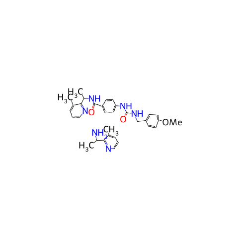 COc1ccc(CNC(=O)Nc2ccc(C(=O)NC(C)c3ncccc3C)cc2)cc1.Cc1cccnc1C(C)N